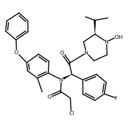 Cc1cc(Oc2ccccc2)ccc1N(C(=O)CCl)[C@@H](C(=O)N1CCN(O)[C@H](C(C)C)C1)c1ccc(F)cc1